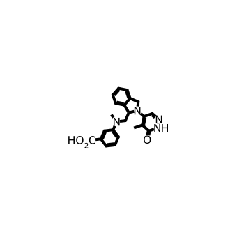 Cc1c(N2Cc3ccccc3C2CN(C)c2cccc(C(=O)O)c2)cn[nH]c1=O